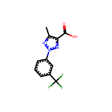 Cc1nn(-c2cccc(C(F)(F)F)c2)nc1C(=O)O